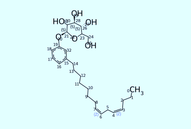 CCC/C=C\C/C=C\CCCCCCCc1cccc(O[C@@H]2OC(CO)[C@@H](O)[C@H](O)C2O)c1